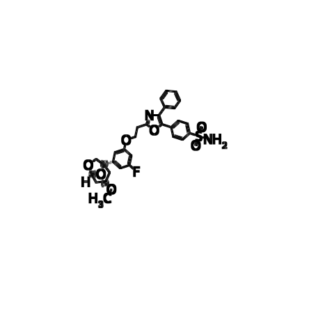 CO[C@@H]1C[C@H]2OC[C@@](c3cc(F)cc(OCCc4nc(-c5ccccc5)c(-c5ccc(S(N)(=O)=O)cc5)o4)c3)(C1)O2